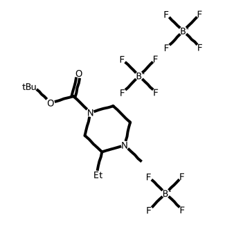 CCC1CN(C(=O)OC(C)(C)C)CCN1C.F[B-](F)(F)F.F[B-](F)(F)F.F[B-](F)(F)F